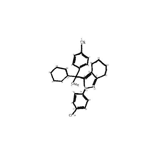 COC(c1ccc(C#N)cc1)(c1c2c(nn1-c1ccc(Cl)cc1)CCCC2)C1CCCCC1